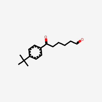 CC(C)(C)c1ccc(C(=O)CCCCC=O)cc1